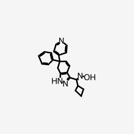 ON=C(c1n[nH]c2c1C=CC(c1ccccc1)(c1ccncc1)C2)C1CCC1